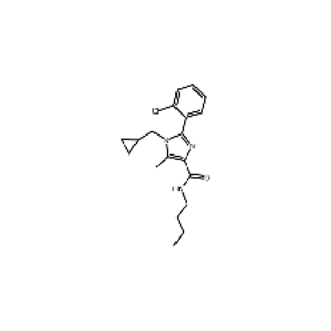 CCCCNC(=O)c1nc(-c2ccccc2Cl)n(CC2CC2)c1C